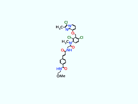 COCCNC(=O)c1ccc(C=CC(=O)NCC(=O)N(C)c2ccc(Cl)c(COc3cccn4c(Cl)c(C)nc34)c2Cl)cc1